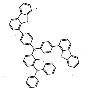 Cc1c(N(c2ccccc2)c2ccccc2)cccc1N(c1ccc(-c2cccc3c2sc2ccccc23)cc1)c1ccc(-c2cccc3c2sc2ccccc23)cc1